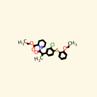 C=C(C(=O)N1CCCCC1C(=O)OCC)c1ccc(Sc2ccccc2OCC)c(Cl)c1